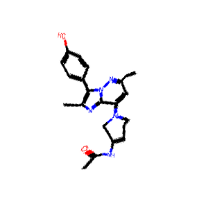 CC(=O)NC1CCN(c2cc(C)nn3c(-c4ccc(O)cc4)c(C)nc23)C1